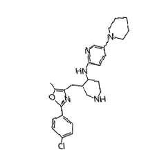 Cc1oc(-c2ccc(Cl)cc2)nc1CC1CNCCC1Nc1ccc(N2CCCCC2)cn1